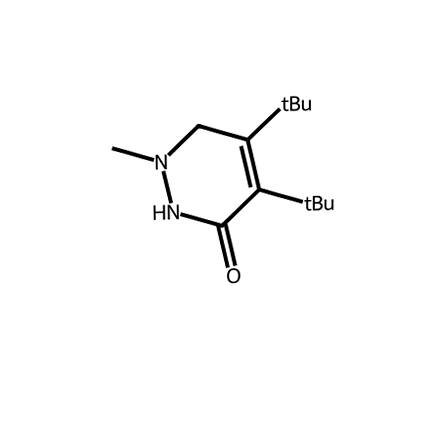 CN1CC(C(C)(C)C)=C(C(C)(C)C)C(=O)N1